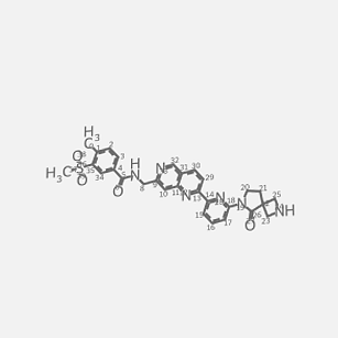 Cc1ccc(C(=O)NCc2cc3nc(-c4cccc(N5CCC6(CNC6)C5=O)n4)ccc3cn2)cc1S(C)(=O)=O